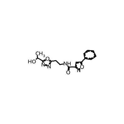 CC(O)c1nnc(CCNC(=O)c2cc(-c3ccccc3)on2)o1